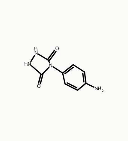 Nc1ccc(-n2c(=O)[nH][nH]c2=O)cc1